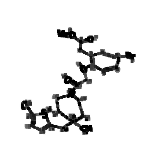 COC(=O)Cc1cc(Br)ccc1OCC(=O)N1CCC(C#N)(Cc2ccc(Cl)s2)CC1